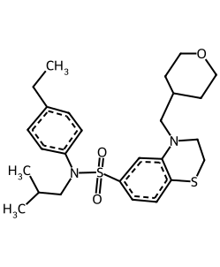 CCc1ccc(N(CC(C)C)S(=O)(=O)c2ccc3c(c2)N(CC2CCOCC2)CCS3)cc1